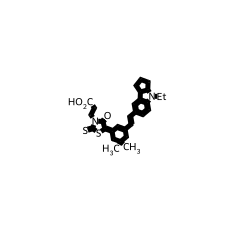 CCN1c2ccc(/C=C/C3=CC(=C4/SC(=S)N(CCC(=O)O)C4=O)/CC(C)(C)C3)cc2C2CCCC21